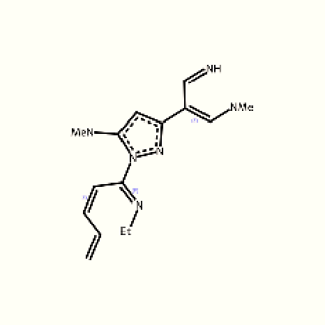 C=C/C=C\C(=N/CC)n1nc(/C(C=N)=C/NC)cc1NC